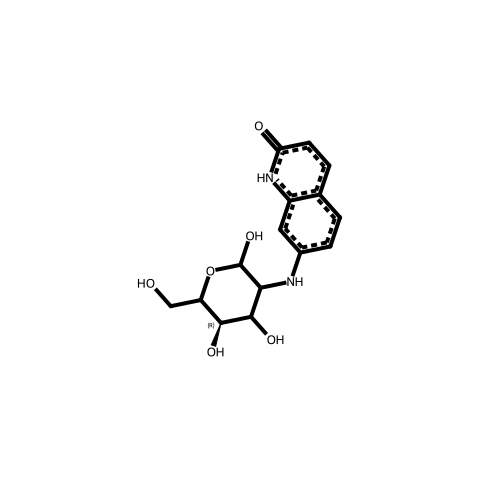 O=c1ccc2ccc(NC3C(O)OC(CO)[C@H](O)C3O)cc2[nH]1